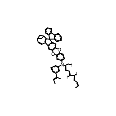 C\C=C/C=C(I)/C(I)=C/C=C(\CI)N(c1cccc(/C(C)=C/C)c1)c1ccc2c(c1)Oc1cc3c(cc1O2)C1(C2=C3C=CC3CC2C3)c2ccccc2-c2ccccc21